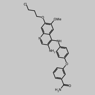 COc1cc2c(Nc3ccc(Oc4cccc(C(N)=O)c4)cc3)c(N)cnc2cc1OCCCCl